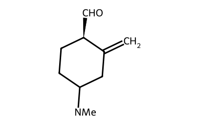 C=C1CC(NC)CC[C@H]1C=O